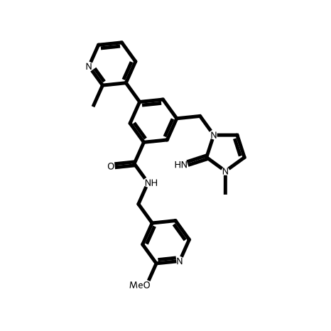 COc1cc(CNC(=O)c2cc(Cn3ccn(C)c3=N)cc(-c3cccnc3C)c2)ccn1